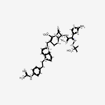 CC(C)(O/N=C(\C(=O)N[C@@H]1C(=O)N2C(C(=O)[O-])=C(C[n+]3ccc4c(ccn4CCc4ccc(NC(=N)N)cc4)c3)CS[C@H]12)c1csc(N)n1)C(=O)O